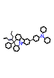 C=C/C=C(\CCC)C1(c2ccccc2)c2ccccc2-n2c3ccc(-c4ccc(N(c5ccccc5)c5ccccc5)cc4)cc3c3cccc1c32